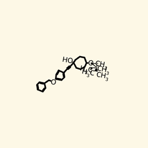 CC(C)(C)[Si](C)(C)OC1CCCC(O)(C#Cc2ccc(OCc3ccccc3)cc2)CCC1